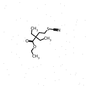 CCOC(=O)C(CC)(CC)CCSC#N